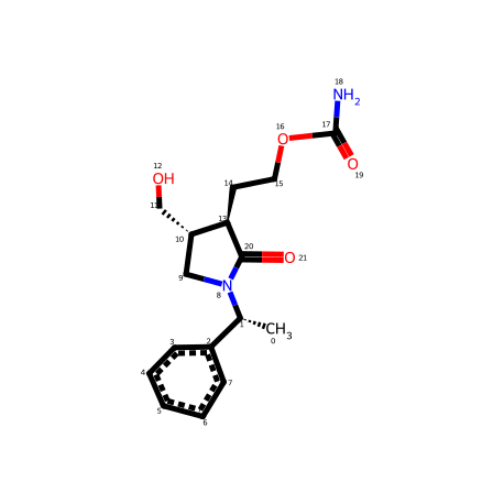 C[C@H](c1ccccc1)N1C[C@H](CO)[C@@H](CCOC(N)=O)C1=O